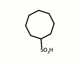 O=S(=O)(O)C1CCCCCCC1